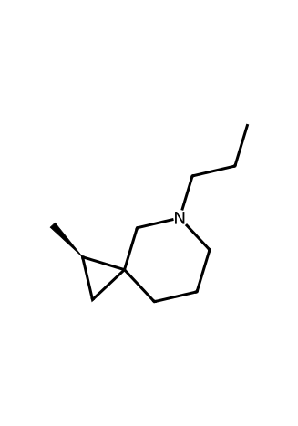 CCCN1CCCC2(C[C@H]2C)C1